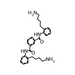 NCCCCc1ccccc1NC(=O)c1cccc(C(=O)Nc2ccccc2CCCCN)c1